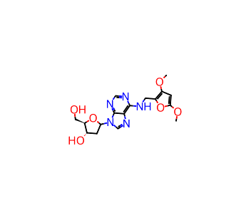 COc1cc(OC)c(CNc2ncnc3c2ncn3C2C[C@H](O)[C@@H](CO)O2)o1